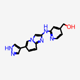 OCc1ccnc(Nc2cn3cc(-c4cn[nH]c4)ccc3n2)c1